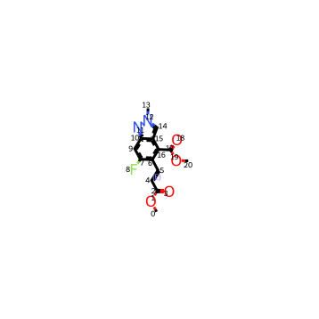 COC(=O)/C=C/c1c(F)cc2nn(C)cc2c1C(=O)OC